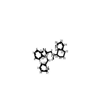 CN(Cc1nc2ccccc2n1Cc1ccccn1)C1CCCc2cccnc21